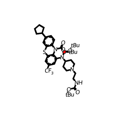 CC(C)(C)OC(=O)NCCN1CCC(N(C(=O)OC(C)(C)C)c2cc(C(F)(F)F)cc3c2N(C(=O)OC(C)(C)C)c2ccc(C4CCCC4)cc2S3)CC1